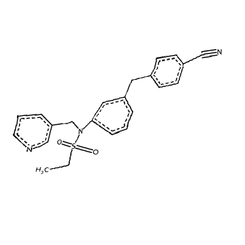 CCS(=O)(=O)N(Cc1cccnc1)c1cccc(Cc2ccc(C#N)cc2)c1